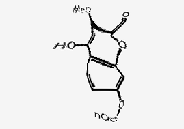 CCCCCCCCOc1ccc2c(O)c(OC)c(=O)oc2c1